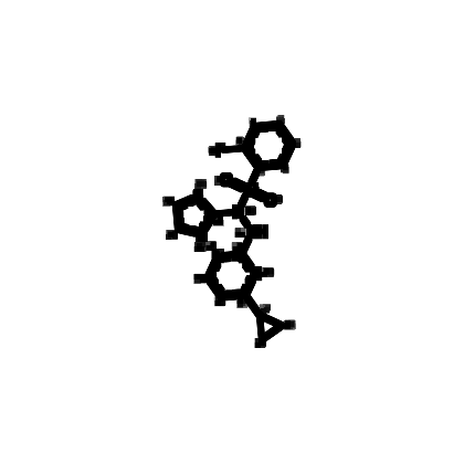 O=S(=O)(c1ccccc1F)N(Nc1nccc(C2CC2)n1)c1nccs1